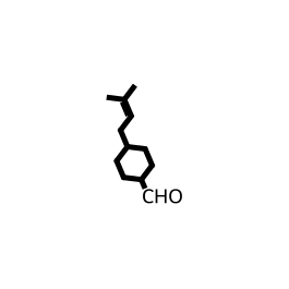 CC(C)=CCC1CCC(C=O)CC1